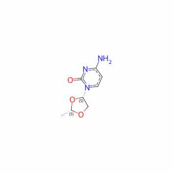 C[C@H]1OC[C@@H](n2ccc(N)nc2=O)O1